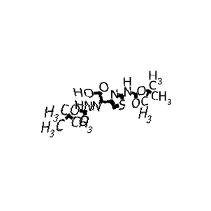 CC(C)(C)OC(=O)NN=C(C(=O)O)c1csc(NC(=O)OC(C)(C)C)n1